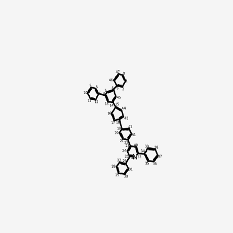 c1ccc(-c2cc(-c3ccccc3)cc(-c3ccc(-c4ccc(-c5cc(-c6ccccc6)nc(-c6ccccc6)c5)cc4)cc3)c2)cc1